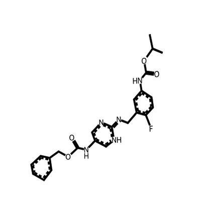 CC(C)OC(=O)Nc1ccc(F)c(C/N=c2/ncc(NC(=O)OCc3ccccc3)c[nH]2)c1